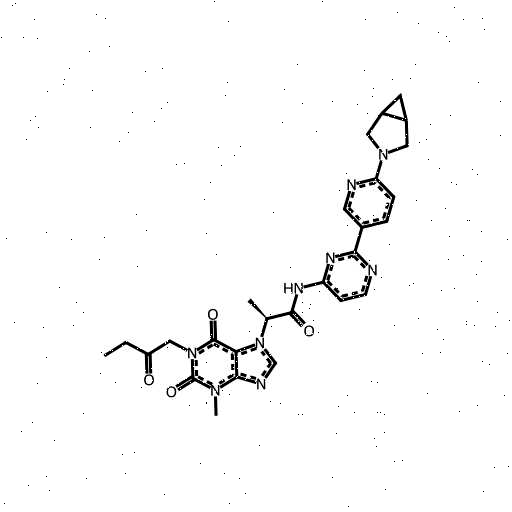 CCC(=O)Cn1c(=O)c2c(ncn2[C@@H](C)C(=O)Nc2ccnc(-c3ccc(N4CC5CC5C4)nc3)n2)n(C)c1=O